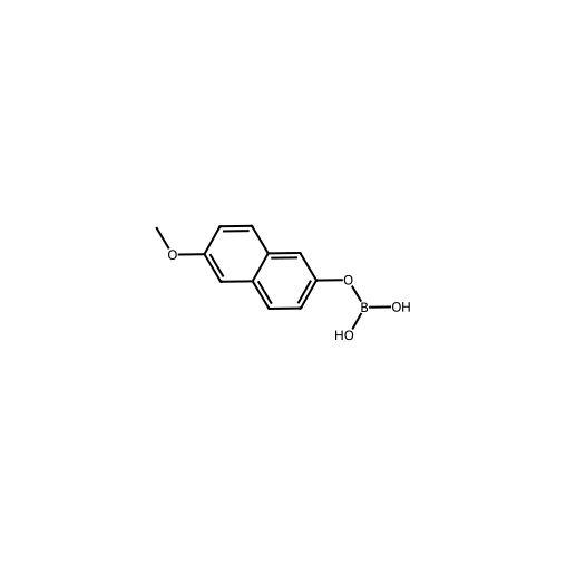 COc1ccc2cc(OB(O)O)ccc2c1